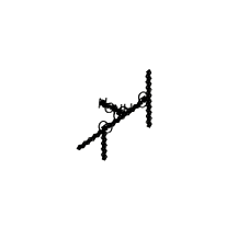 CCCCCCCCCCC(CCCCCCCCCC)C(=O)OCCCCCCC(CCCCCCOC(=O)C(CCCCCCCCCC)CCCCCCCCCC)OC(=O)NCCOCCN(C)C